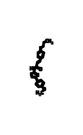 CCCSc1ccc(/C=C/C(=O)Nc2nc(-c3ccc(OC)cc3)cs2)cc1